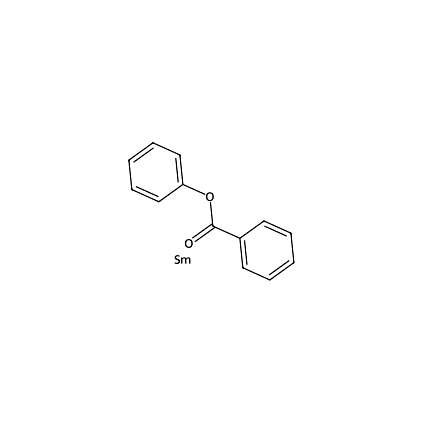 O=C(Oc1ccccc1)c1ccccc1.[Sm]